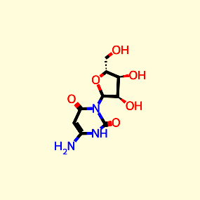 Nc1cc(=O)n(C2O[C@H](CO)[C@@H](O)[C@H]2O)c(=O)[nH]1